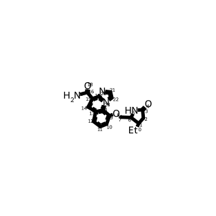 CCC1CC(=O)NC1COc1cccc2cc(C(N)=O)c3nccn3c12